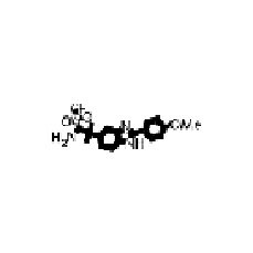 COc1ccc(-c2nc3cc(C(C)(C)C(N)S(=O)(=O)C(F)(F)F)ccc3[nH]2)cc1